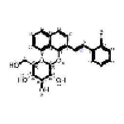 OC[C@H]1O[C@@H](Oc2c(/C=C/c3ccccc3F)ccc3ccccc23)[C@H](O)[C@@H](O)[C@@H]1O